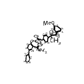 COc1cccc(CC(C)(C)c2ccc(C(=O)OOc3ccc(-c4ccncc4)cc3C(N)=O)cc2)c1